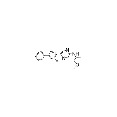 COC[C@H](C)Nc1cnc(-c2ccc(-c3ccccc3)cc2F)cn1